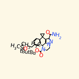 CC1c2c(C3(c4ccc(CCO[Si](C)(C)C(C)(C)C)cc4)CC3)c(C(N)=O)nn2CCN1C(=O)OC(C)(C)C